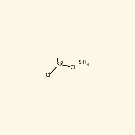 Cl[SiH2]Cl.[SiH4]